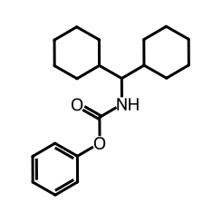 O=C(NC(C1CCCCC1)C1CCCCC1)Oc1ccccc1